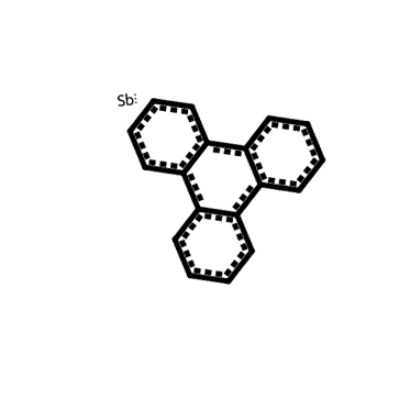 [Sb].c1ccc2c(c1)c1ccccc1c1ccccc21